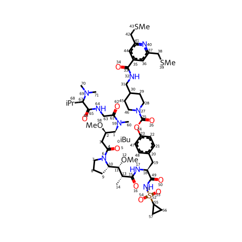 CC[C@H](C)[C@@H]([C@@H](CC(=O)N1CCC[C@H]1[C@H](OC)[C@@H](C)C(=O)N[C@@H](Cc1ccc(OC(=O)N2CCC(CNC(=O)c3cc(CSC)nc(CSC)c3)CC2)cc1)C(=O)NS(=O)(=O)C1CC1)OC)N(C)C(=O)CNC(=O)C(C(C)C)N(C)C